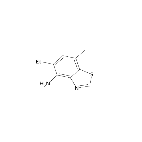 CCc1cc(C)c2scnc2c1N